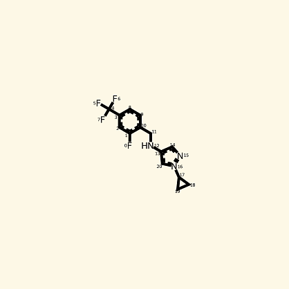 Fc1cc(C(F)(F)F)ccc1CNc1cnn(C2CC2)c1